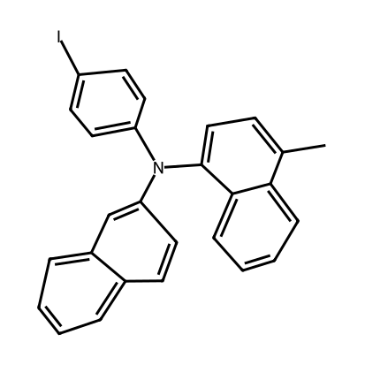 Cc1ccc(N(c2ccc(I)cc2)c2ccc3ccccc3c2)c2ccccc12